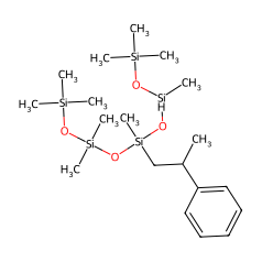 CC(C[Si](C)(O[SiH](C)O[Si](C)(C)C)O[Si](C)(C)O[Si](C)(C)C)c1ccccc1